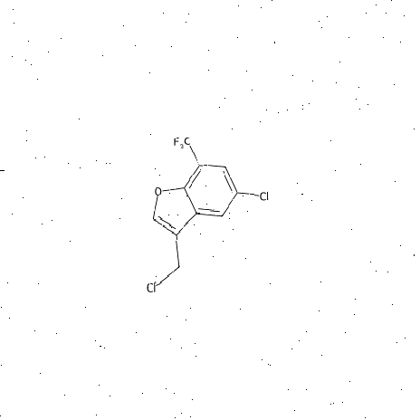 FC(F)(F)c1cc(Cl)cc2c(CCl)coc12